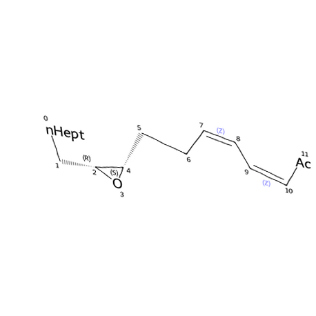 CCCCCCCC[C@H]1O[C@H]1CC/C=C\C=C/C(C)=O